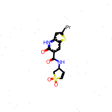 CC(C)c1cc2[nH]c(=O)c(C(=O)NC3C=CS(=O)(=O)C3)cc2s1